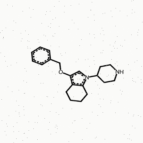 c1ccc(COc2cn(C3CCNCC3)c3c2CCCC3)cc1